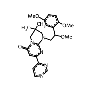 COc1ccc(OC)c(C(CN2CC(C)(C)Cn3c2nc(-c2ccncn2)cc3=O)OC)c1